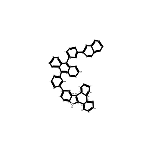 c1cc(-c2ccc3ccccc3c2)cc(-c2c3ccccc3c(-c3cccc(-c4ccc5oc6c7ccccc7c7ccccc7c6c5c4)c3)c3ccccc23)c1